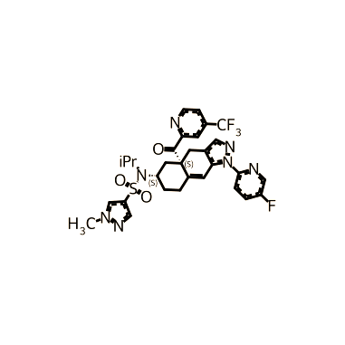 CC(C)N([C@H]1CCC2=Cc3c(cnn3-c3ccc(F)cn3)C[C@]2(C(=O)c2cc(C(F)(F)F)ccn2)C1)S(=O)(=O)c1cnn(C)c1